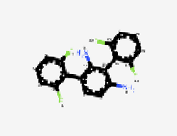 Nc1ccc(-c2c(F)cccc2F)c(N)c1-c1c(F)cccc1F